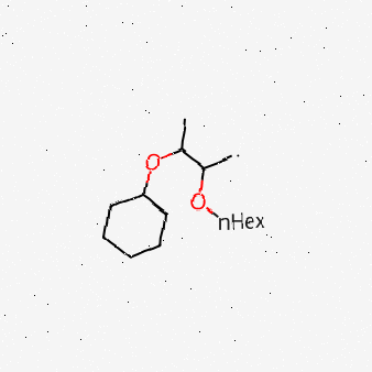 [CH2]C(OCCCCCC)C(C)OC1CCCCC1